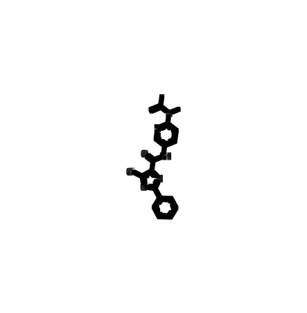 C=C(C)N(C)c1ccc(NC(=O)c2nc(-c3ccccc3)oc2Cl)cn1